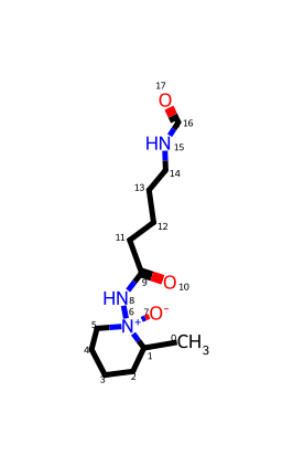 CC1CCCC[N+]1([O-])NC(=O)CCCCN[C]=O